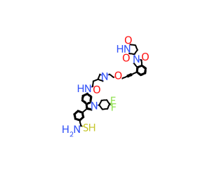 NC(S)c1cccc(-c2cn(C3CCC(F)(F)CC3)c3cc(NC(=O)CC4CN(CCOCC#Cc5cccc6c5CN(C5CCC(=O)NC5=O)C6=O)C4)ccc23)c1